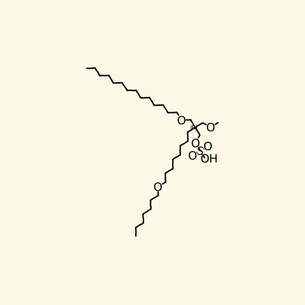 CCCCCCCCCCCCCCOC[C@@](CCCCCCCCOCCCCCCC)(COC)COS(=O)(=O)O